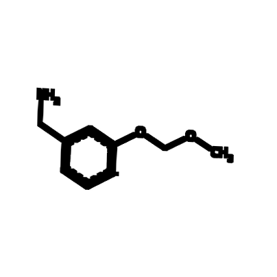 COCOc1[c]ccc(CN)c1